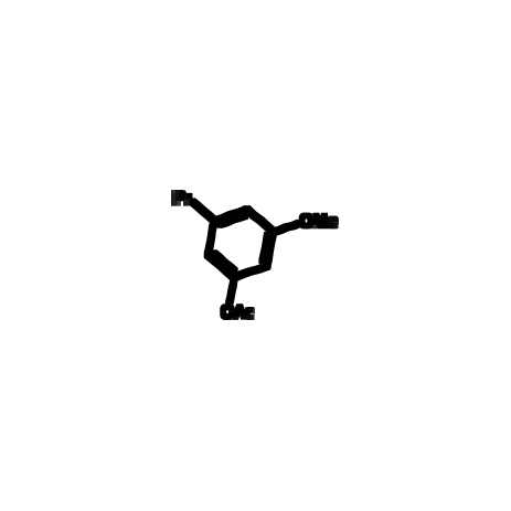 [CH2]C(C)c1cc(OC)cc(OC(C)=O)c1